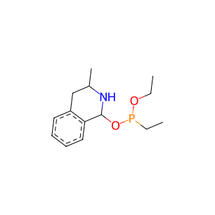 CCOP(CC)OC1NC(C)Cc2ccccc21